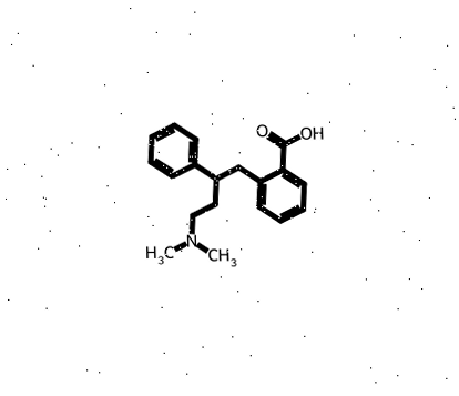 CN(C)CCC(Cc1ccccc1C(=O)O)c1ccccc1